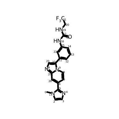 Cn1ccnc1-c1ccn2c(-c3cccc(NC(=O)NCC(F)(F)F)c3)cnc2c1